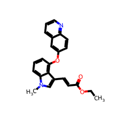 CCOC(=O)C=Cc1cn(C)c2cccc(Oc3ccc4ncccc4c3)c12